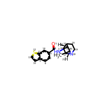 C[C@@H]1[C@H](NC(=O)c2ccc3ccsc3c2)C2CCN1CC2